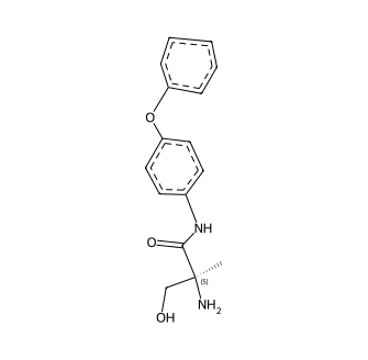 C[C@](N)(CO)C(=O)Nc1ccc(Oc2ccccc2)cc1